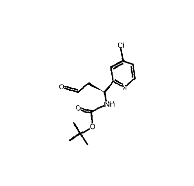 CC(C)(C)OC(=O)N[C@@H](CC=O)c1cc(Cl)ccn1